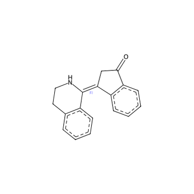 O=C1C/C(=C2\NCCc3ccccc32)c2ccccc21